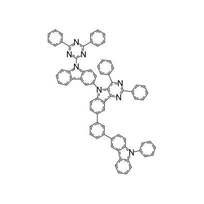 c1ccc(-c2nc(-c3ccccc3)nc(-n3c4ccccc4c4cc(-n5c6ccc(-c7cccc(-c8ccc9c(c8)c8ccccc8n9-c8ccccc8)c7)cc6c6nc(-c7ccccc7)nc(-c7ccccc7)c65)ccc43)n2)cc1